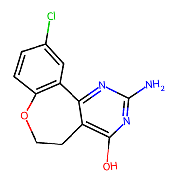 Nc1nc(O)c2c(n1)-c1cc(Cl)ccc1OCC2